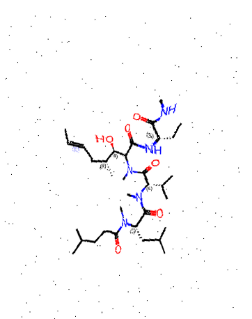 C/C=C/C[C@@H](C)[C@@H](O)C(C(=O)N[C@@H](CC)C(=O)NC)N(C)C(=O)[C@H](C(C)C)N(C)C(=O)[C@H](CC(C)C)N(C)C(=O)CCC(C)C